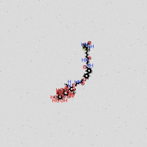 CC(=O)N[C@H]1[C@H](OCCCNC(=O)COc2ccc(-c3cccc(C(=O)NCCNC(=O)CCCC[C@@H]4SC[C@@H]5NC(=O)N[C@@H]54)c3)cc2)O[C@H](CO)[C@@H](O[C@@H]2O[C@H](CO)[C@H](O)[C@H](O[C@H]3O[C@H](CO)[C@H](O)[C@H](O)[C@H]3O)[C@H]2O)[C@@H]1O